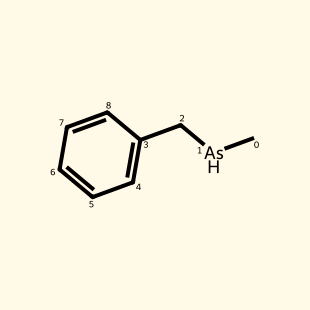 C[AsH]Cc1ccccc1